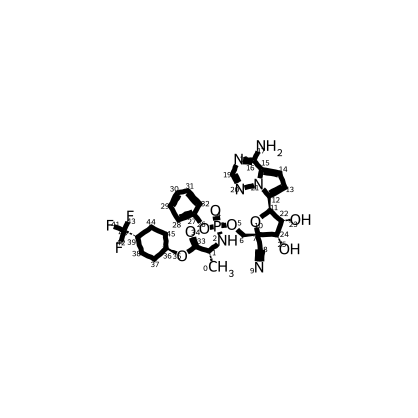 C[C@@H](NP(=O)(OC[C@@]1(C#N)O[C@@H](c2ccc3c(N)ncnn23)[C@H](O)[C@@H]1O)Oc1ccccc1)C(=O)O[C@H]1CC[C@H](C(F)(F)F)CC1